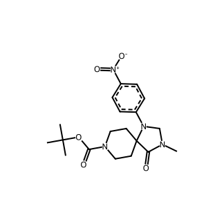 CN1CN(c2ccc([N+](=O)[O-])cc2)C2(CCN(C(=O)OC(C)(C)C)CC2)C1=O